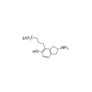 CCOC(=O)CCCc1c(O)ccc2c1CC(N)C2